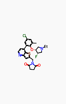 CCN1C[C@H](F)[C@H](Oc2c(C)cc(Cl)cc2-c2ccnc3cc(CN4C(=O)CCC4=O)sc23)C1